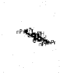 CCCN(CCC)CCOc1ccc2c(c1)c(=O)c1ccc(OCCN(CCC)CCC)cc1n2C